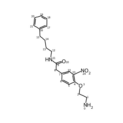 NCCOc1ccc(CC(=O)NCCCCc2ccccc2)cc1[N+](=O)[O-]